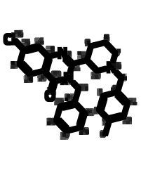 Cc1ccc(CN2CCCC(c3nc4cc(Cl)ccc4c(=O)n3Cc3ccccc3)C2)cc1